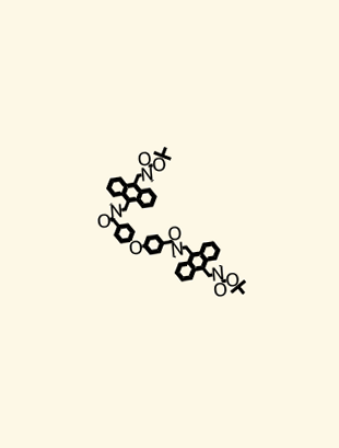 CN(Cc1c2ccccc2c(CN(C)C(=O)c2ccc(Oc3ccc(C(=O)N(C)Cc4c5ccccc5c(CN(C)C(=O)OC(C)(C)C)c5ccccc45)cc3)cc2)c2ccccc12)C(=O)OC(C)(C)C